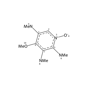 CNc1c[n+]([O-])c(NC)c(NC)c1OC